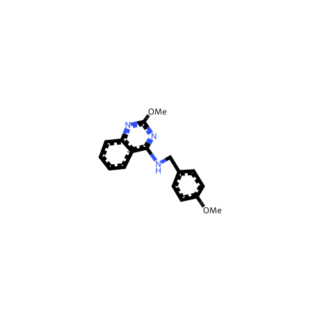 COc1ccc(CNc2nc(OC)nc3ccccc23)cc1